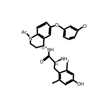 CC(=O)N1CC[C@@H](NC(=O)[C@@H](N)Cc2c(C)cc(O)cc2C)c2cc(Oc3cccc(Cl)c3)ccc21